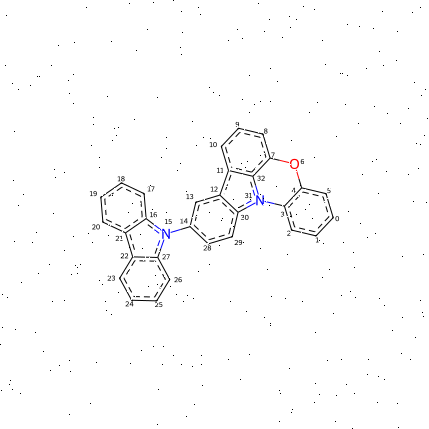 c1ccc2c(c1)Oc1cccc3c4cc(-n5c6ccccc6c6ccccc65)ccc4n-2c13